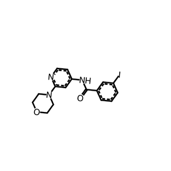 O=C(Nc1ccnc(N2CCOCC2)c1)c1cccc(I)c1